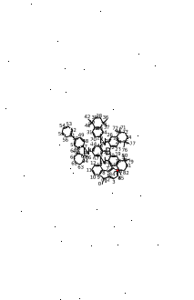 C[C@@H]1c2ccccc2-c2c1cccc2N1c2cc3c(cc2B2c4cc5c(cc4N(c4ccc6c(c4)C(C)(C)CCC6(C)C)c4cc(N6c7ccc(-c8ccccc8)cc7C7(C)CCCCC67C)cc1c42)C(C)(C)CCC5(C)C)C(C)(C)CCC3(C)C